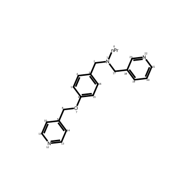 [CH2]CCN(Cc1ccc(OCc2ccncc2)cc1)Cc1cccnc1